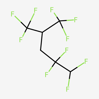 FC(F)C(F)(F)CC(C(F)(F)F)C(F)(F)F